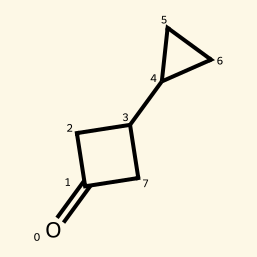 O=C1CC(C2CC2)C1